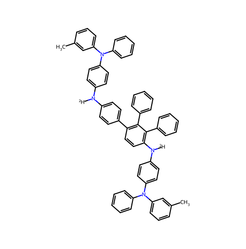 [2H]N(c1ccc(-c2ccc(N([2H])c3ccc(N(c4ccccc4)c4cccc(C)c4)cc3)c(-c3ccccc3)c2-c2ccccc2)cc1)c1ccc(N(c2ccccc2)c2cccc(C)c2)cc1